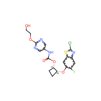 O=C(Nc1cnc(OCCO)nc1)O[C@H]1CC[C@H]1Oc1cc2sc(Cl)nc2cc1F